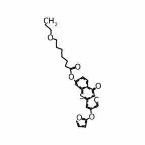 C=CCOCCCCCCC(=O)Oc1ccc2c(=O)c3ccc(Oc4ccco4)cc3sc2c1